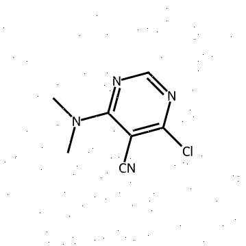 CN(C)c1ncnc(Cl)c1C#N